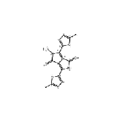 Cc1ccc(C2=C3C(=O)N(N)C(c4ccc(C)o4)=C3C(=O)N2)o1